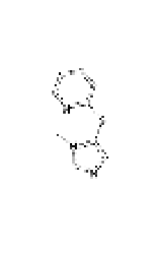 Cn1cncc1Sc1ccccn1